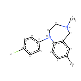 CC(=O)c1ccc2c(c1)CN(C)CCN2c1ccc(F)cc1